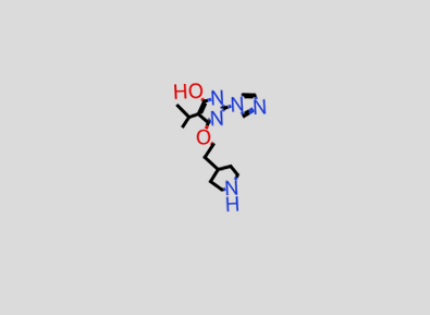 CC(C)c1c(O)nc(-n2ccnc2)nc1OCCC1CCNCC1